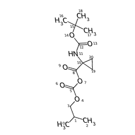 CC(C)COC(=O)OC(=O)C1(NC(=O)OC(C)(C)C)CC1